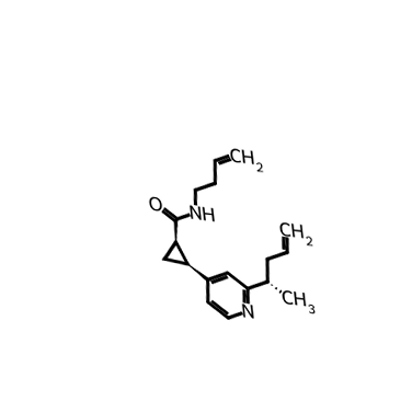 C=CCCNC(=O)[C@@H]1C[C@@H]1c1ccnc([C@@H](C)CC=C)c1